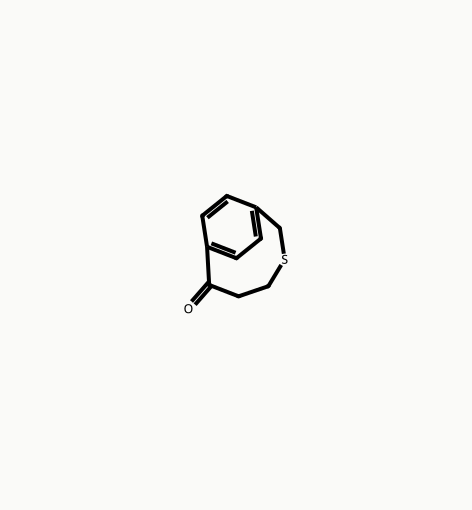 O=C1CCSCc2ccc1cc2